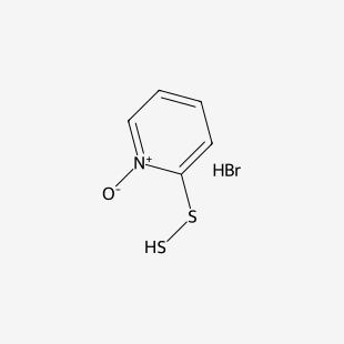 Br.[O-][n+]1ccccc1SS